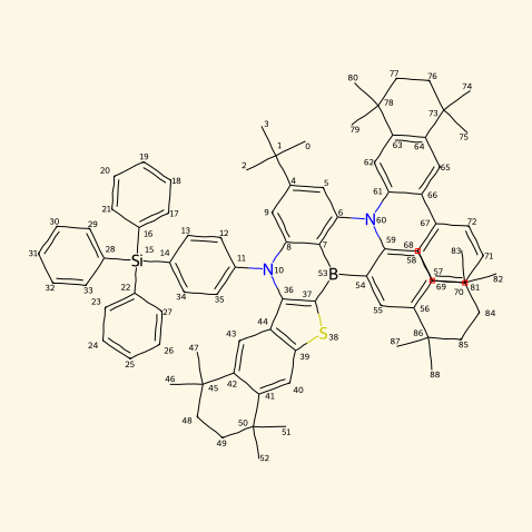 CC(C)(C)c1cc2c3c(c1)N(c1ccc([Si](c4ccccc4)(c4ccccc4)c4ccccc4)cc1)c1c(sc4cc5c(cc14)C(C)(C)CCC5(C)C)B3c1cc3c(cc1N2c1cc2c(cc1-c1ccccc1)C(C)(C)CCC2(C)C)C(C)(C)CCC3(C)C